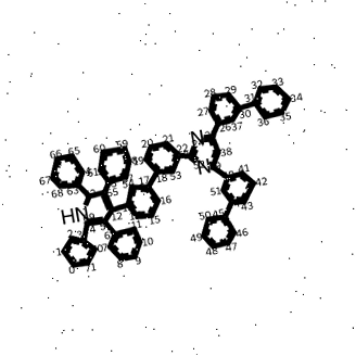 c1ccc(C2=C(c3ccccc3)C(c3cccc(-c4cccc(-c5nc(-c6cccc(-c7ccccc7)c6)cc(-c6cccc(-c7ccccc7)c6)n5)c4)c3)=C(c3ccccc3)C(c3ccccc3)N2)cc1